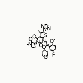 COc1ccc(F)cc1[C@H](Cn1c(=O)n([C@H]2CCN(C)C2=O)c(=O)c2c(C)c(-n3nccn3)sc21)OC1CCOCC1